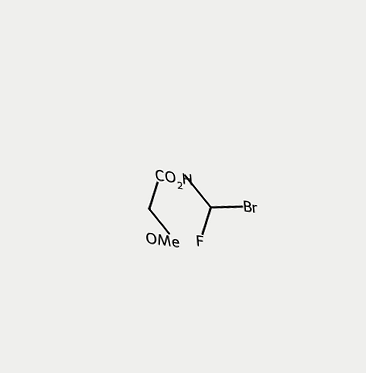 CC(F)Br.COCC(=O)O